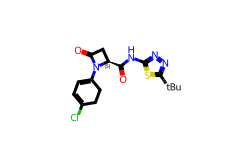 CC(C)(C)c1nnc(NC(=O)[C@@H]2CC(=O)N2C2=CC=C(Cl)CC2)s1